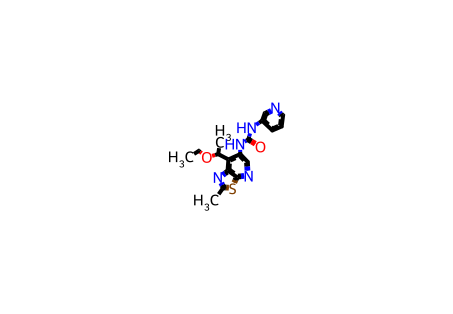 CCOC(C)c1c(NC(=O)Nc2cccnc2)cnc2sc(C)nc12